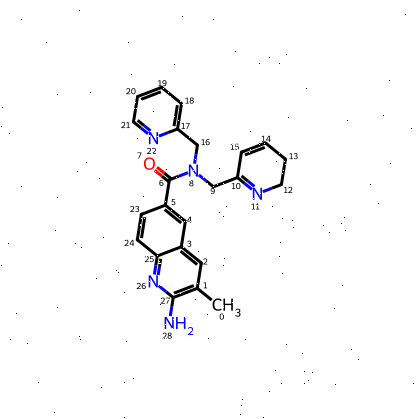 Cc1cc2cc(C(=O)N(CC3=NCCC=C3)Cc3ccccn3)ccc2nc1N